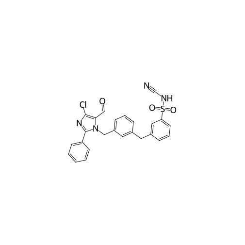 N#CNS(=O)(=O)c1cccc(Cc2cccc(Cn3c(-c4ccccc4)nc(Cl)c3C=O)c2)c1